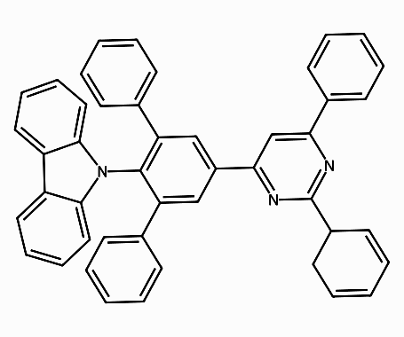 C1=CCC(c2nc(-c3ccccc3)cc(-c3cc(-c4ccccc4)c(-n4c5ccccc5c5ccccc54)c(-c4ccccc4)c3)n2)C=C1